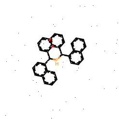 c1ccc(C(PC(c2ccccc2)c2cccc3ccccc23)c2cccc3ccccc23)cc1